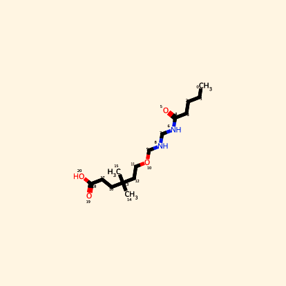 CCCCC(=O)NCNCOCCC(C)(C)CCC(=O)O